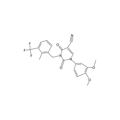 COc1ccc(-n2cc(C#N)c(=O)n(Cc3cccc(C(F)(F)F)c3C)c2=O)cc1OC